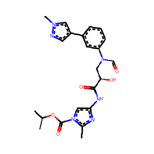 Cc1nc(NC(=O)[C@H](O)CN(C=O)c2cccc(-c3cnn(C)c3)c2)cn1C(=O)OC(C)C